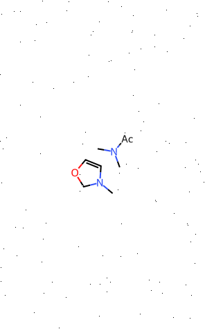 CC(=O)N(C)C.CN1C=COC1